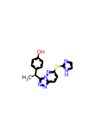 C[C@@H](c1ccc(O)cc1)c1nnc2ccc(Sc3ncc[nH]3)nn12